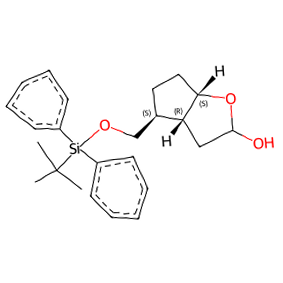 CC(C)(C)[Si](OC[C@H]1CC[C@@H]2OC(O)C[C@H]12)(c1ccccc1)c1ccccc1